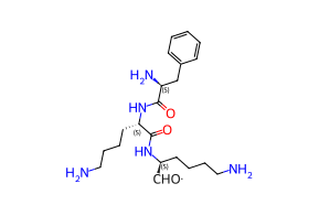 NCCCC[C@@H]([C]=O)NC(=O)[C@H](CCCCN)NC(=O)[C@@H](N)Cc1ccccc1